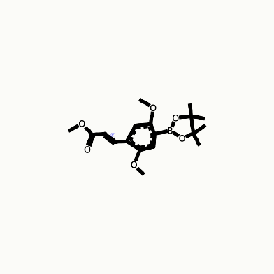 COC(=O)/C=C/c1cc(OC)c(B2OC(C)(C)C(C)(C)O2)cc1OC